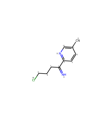 N#Cc1ccc(C(=N)CCCCl)nc1